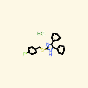 Cl.Fc1ccc(CSC2=NC(c3ccccc3)C(c3ccccc3)N2)cc1